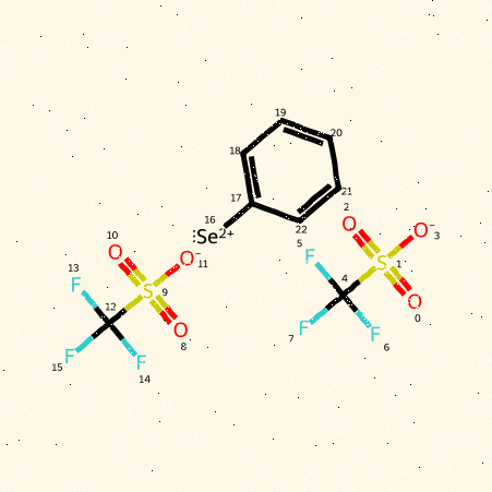 O=S(=O)([O-])C(F)(F)F.O=S(=O)([O-])C(F)(F)F.[Se+2]c1ccccc1